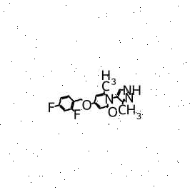 Cc1n[nH]cc1-n1c(C)cc(OCc2ccc(F)cc2F)cc1=O